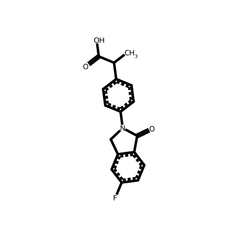 CC(C(=O)O)c1ccc(N2Cc3cc(F)ccc3C2=O)cc1